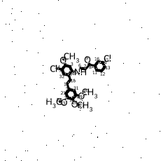 COc1cc(NC=CC(=O)c2cccc(Cl)c2)c(C=Cc2cc(OC)c(OC)c(OC)c2)cc1Cl